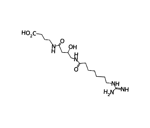 N=C(N)NCCCCCCC(=O)NCC(O)CC(=O)NCCCC(=O)O